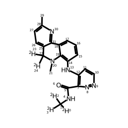 [2H]C([2H])([2H])NC(=O)c1nnccc1Nc1cccc2c1N(C)C([2H])([2H])c1ccc(C)nc1-2